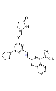 CN(C)c1nc(/C=C/c2nc(OC[C@H]3CCC(=O)N3)cc(N3CCCC3)n2)nc2ccccc12